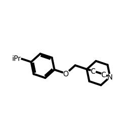 CC(C)c1ccc(OCC23CCN(CC2)CC3)cc1